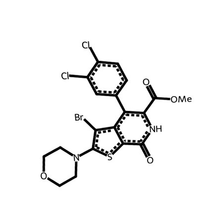 COC(=O)c1[nH]c(=O)c2sc(N3CCOCC3)c(Br)c2c1-c1ccc(Cl)c(Cl)c1